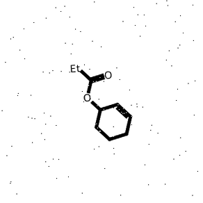 [CH2]CC(=O)OC1C=CCCC1